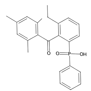 CCc1cccc(P(=O)(O)c2ccccc2)c1C(=O)c1c(C)cc(C)cc1C